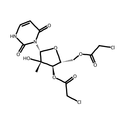 C[C@]1(O)[C@H](OC(=O)CCl)[C@@H](COC(=O)CCl)O[C@H]1n1c(=O)cc[nH]c1=O